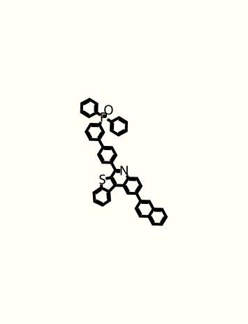 O=P(c1ccccc1)(c1ccccc1)c1cccc(-c2ccc(-c3nc4ccc(-c5ccc6ccccc6c5)cc4c4c3sc3ccccc34)cc2)c1